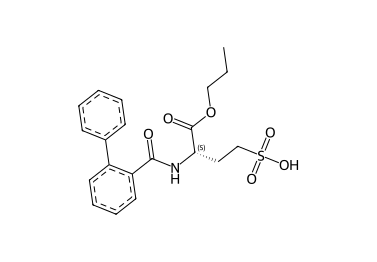 CCCOC(=O)[C@H](CCS(=O)(=O)O)NC(=O)c1ccccc1-c1ccccc1